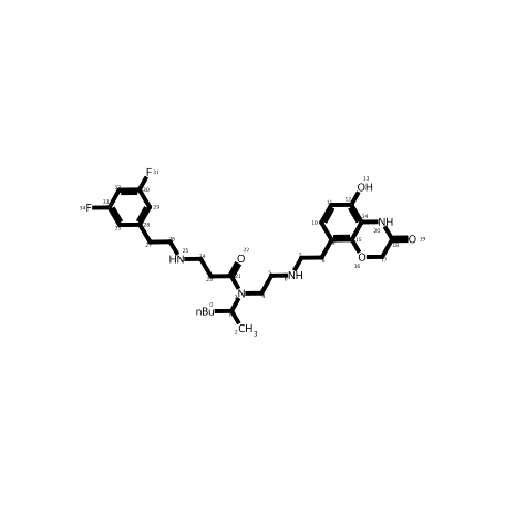 CCCCC(C)N(CCNCCc1ccc(O)c2c1OCC(=O)N2)C(=O)CCNCCc1cc(F)cc(F)c1